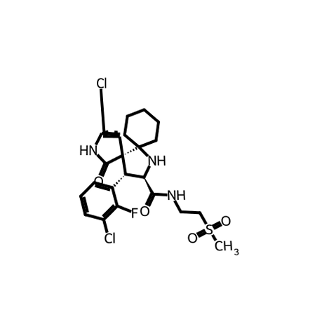 CS(=O)(=O)CCNC(=O)[C@@H]1NC2(CCCCC2)[C@@]2(C(=O)Nc3cc(Cl)ccc32)[C@H]1c1cccc(Cl)c1F